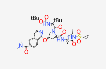 C=CC[C@@](C)(NC(=O)[C@@H]1C[C@@H](Oc2nccc3cc(C(=O)N(C)C)ccc23)CN1C(=O)[C@@H](NC(=O)OC(C)(C)C)C(C)(C)C)C(=O)NS(=O)(=O)C1CC1